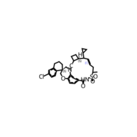 CC1C/C=C/C(C2CC2)[C@@H]2CCC2CN2C[C@@]3(CCCc4cc(Cl)ccc43)COc3ccc(cc32)C(=O)NS1(=O)=O